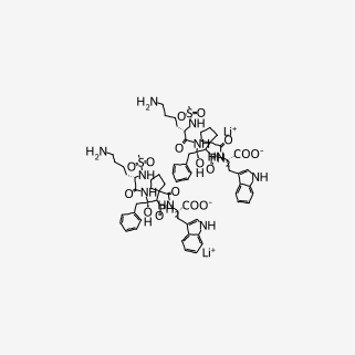 CS(=O)(=O)N[C@@H](CCCCN)C(=O)N[C@@](O)(Cc1ccccc1)C([PH2]=O)C1(C(=O)N[C@@H](Cc2c[nH]c3ccccc23)C(=O)[O-])CCCC1.CS(=O)(=O)N[C@@H](CCCCN)C(=O)N[C@@](O)(Cc1ccccc1)C([PH2]=O)C1(C(=O)N[C@@H](Cc2c[nH]c3ccccc23)C(=O)[O-])CCCC1.[Li+].[Li+]